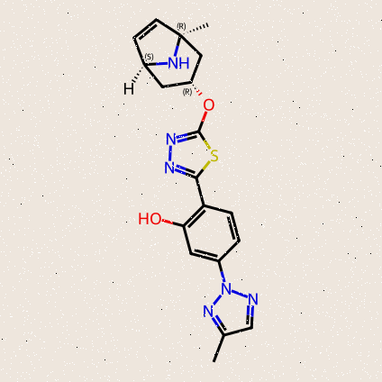 Cc1cnn(-c2ccc(-c3nnc(O[C@@H]4C[C@H]5C=C[C@@](C)(C4)N5)s3)c(O)c2)n1